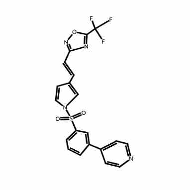 O=S(=O)(c1cccc(-c2ccncc2)c1)n1ccc(/C=C/c2noc(C(F)(F)F)n2)c1